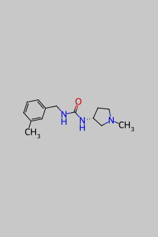 Cc1cccc(CNC(=O)N[C@@H]2CCN(C)C2)c1